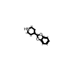 c1ccc2c(c1)OC(C1CCNCC1)O2